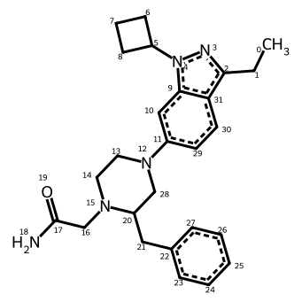 CCc1nn(C2CCC2)c2cc(N3CCN(CC(N)=O)C(Cc4ccccc4)C3)ccc12